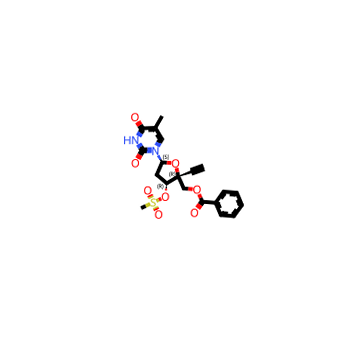 C#C[C@]1(COC(=O)c2ccccc2)O[C@H](n2cc(C)c(=O)[nH]c2=O)C[C@H]1OS(C)(=O)=O